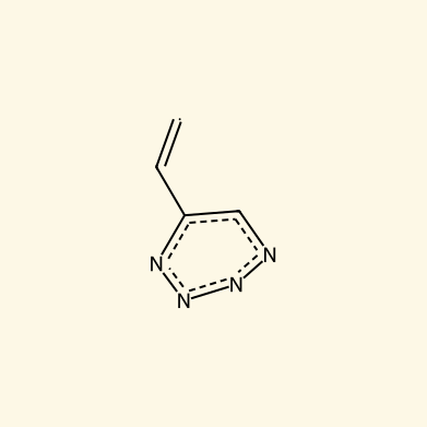 [CH]=Cc1cnnnn1